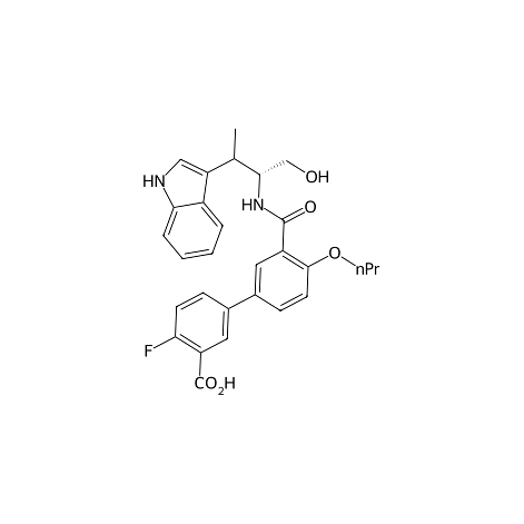 CCCOc1ccc(-c2ccc(F)c(C(=O)O)c2)cc1C(=O)N[C@@H](CO)C(C)c1c[nH]c2ccccc12